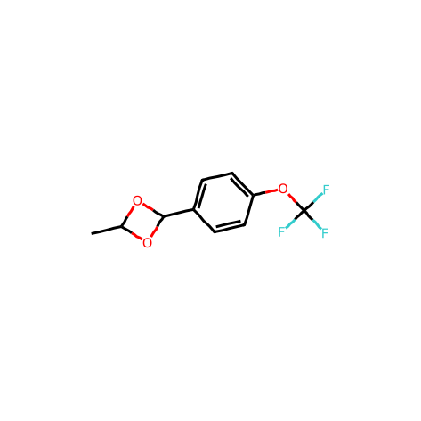 CC1OC(c2ccc(OC(F)(F)F)cc2)O1